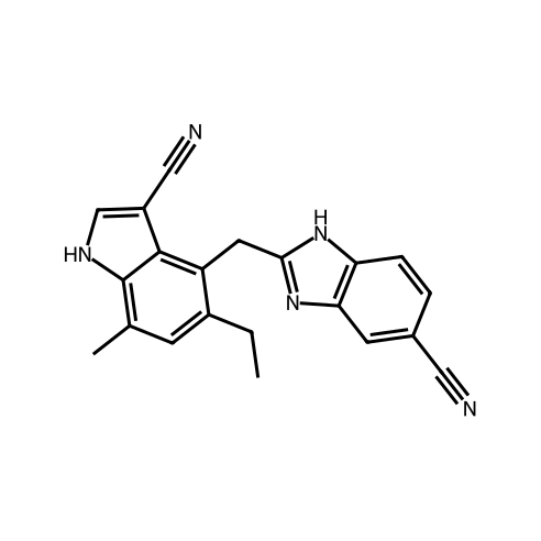 CCc1cc(C)c2[nH]cc(C#N)c2c1Cc1nc2cc(C#N)ccc2[nH]1